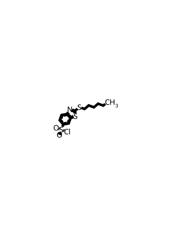 CCCCCCSc1nc2ccc(S(=O)(=O)Cl)cc2s1